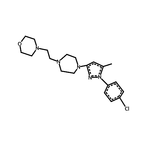 Cc1cc(N2CCN(CCN3CCOCC3)CC2)nn1-c1ccc(Cl)cc1